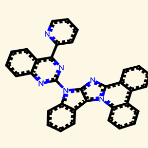 c1ccc(-c2nc(-n3c4ccccc4c4c3nc3c5ccccc5c5ccccc5n34)nc3ccccc23)nc1